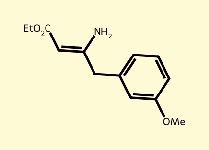 CCOC(=O)C=C(N)Cc1cccc(OC)c1